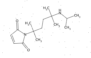 CC(C)NC(C)(C)CCC(C)(C)N1C(=O)C=CC1=O